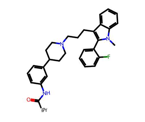 CC(C)C(=O)Nc1cccc(C2CCN(CCCc3c(-c4ccccc4F)n(C)c4ccccc34)CC2)c1